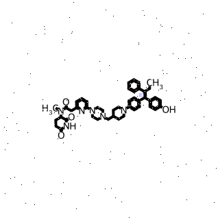 CC/C(=C(\c1ccc(O)cc1)c1ccc(N2CCC(CN3CCN(c4cccc(CC(=O)N(C)C5CCC(=O)NC5=O)n4)CC3)CC2)cc1)c1ccccc1